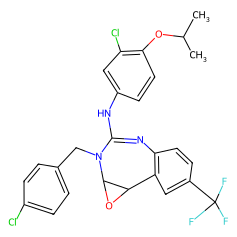 CC(C)Oc1ccc(NC2=Nc3ccc(C(F)(F)F)cc3C3OC3N2Cc2ccc(Cl)cc2)cc1Cl